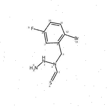 NNN(C=S)Cc1cc(F)ccc1Br